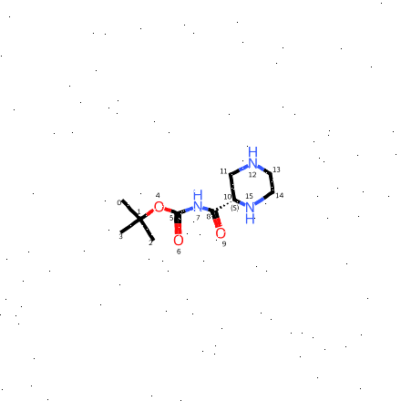 CC(C)(C)OC(=O)NC(=O)[C@@H]1CNCCN1